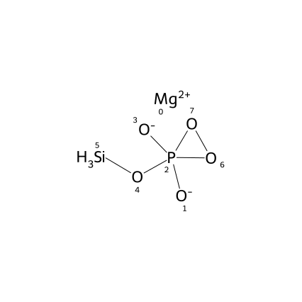 [Mg+2].[O-]P1([O-])(O[SiH3])OO1